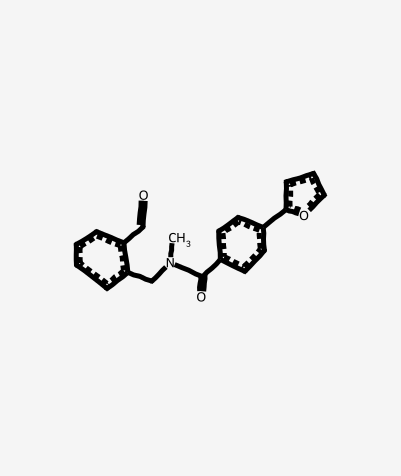 CN(Cc1ccccc1C=O)C(=O)c1ccc(-c2ccco2)cc1